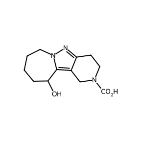 O=C(O)N1CCc2nn3c(c2C1)C(O)CCCC3